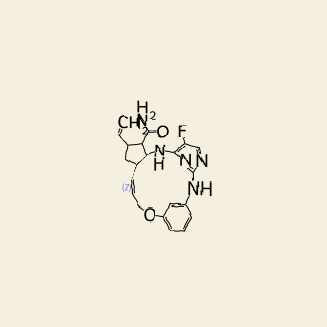 C=CC1CC2/C=C\COc3cccc(c3)Nc3ncc(F)c(n3)NC2C1C(N)=O